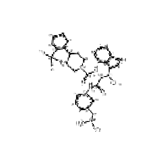 C[C@H](c1c[nH]c2ccccc12)[C@@H](NC(=O)N1CCC(c2ccccc2C(F)(F)F)CC1)C(=O)Nc1cccc(CN(C)C)c1